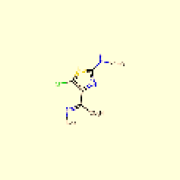 CO/N=C(\C(=O)O)c1nc(NC=O)sc1Cl